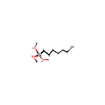 CO[Si](CCCCCCBr)(OC)OC